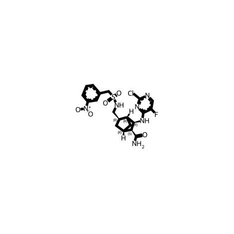 NC(=O)[C@H]1[C@@H]2C[C@@H](CNS(=O)(=O)Cc3cccc([N+](=O)[O-])c3)[C@@H](C2)[C@H]1Nc1nc(Cl)ncc1F